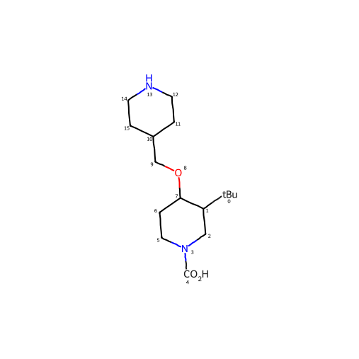 CC(C)(C)C1CN(C(=O)O)CCC1OCC1CCNCC1